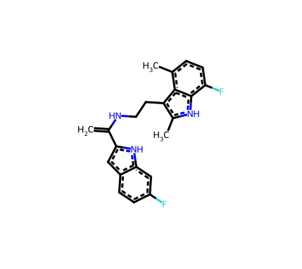 C=C(NCCc1c(C)[nH]c2c(F)ccc(C)c12)c1cc2ccc(F)cc2[nH]1